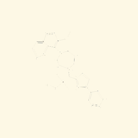 COc1ccc2cccnc2c1N1CCCN(C(c2ccn(-c3ccccc3)n2)C(C)(C)CO)CC1